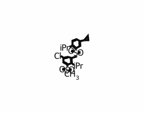 CC(C)c1ccc(C2CC2)cc1S(=O)(=O)Cc1cc(Cl)cc(S(C)(=O)=O)c1C(C)C